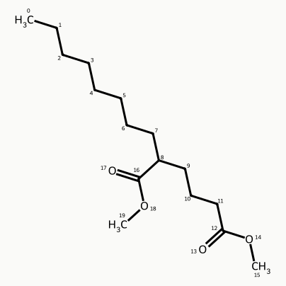 CCCCCCCCC(CCCC(=O)OC)C(=O)OC